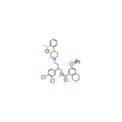 CC(C)Oc1cc2c(c(C(=O)N(C)CC(CCN3CCC(c4ccccc4[S+](C)[O-])CC3)c3ccc(Cl)c(Cl)c3)c1)CCCC2